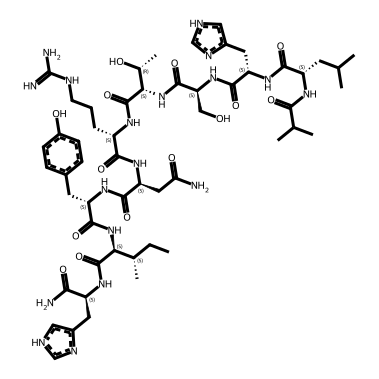 CC[C@H](C)[C@H](NC(=O)[C@H](Cc1ccc(O)cc1)NC(=O)[C@H](CC(N)=O)NC(=O)[C@H](CCCNC(=N)N)NC(=O)[C@@H](NC(=O)[C@H](CO)NC(=O)[C@H](Cc1c[nH]cn1)NC(=O)[C@H](CC(C)C)NC(=O)C(C)C)[C@@H](C)O)C(=O)N[C@@H](Cc1c[nH]cn1)C(N)=O